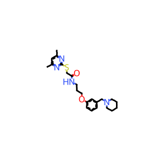 Cc1cc(C)nc(SCC(=O)NCCCOc2cccc(CN3CCCCC3)c2)n1